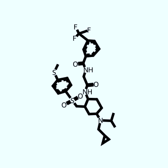 CSc1ccc(S(=O)(=O)CC2CC(N(CC3CC3)C(C)C)CCC2NC(=O)CNC(=O)c2cccc(C(F)(F)F)c2)cc1